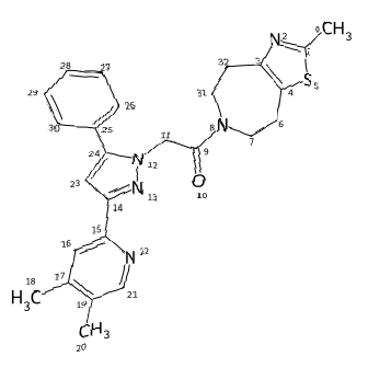 Cc1nc2c(s1)CCN(C(=O)Cn1nc(-c3cc(C)c(C)cn3)cc1-c1ccccc1)CC2